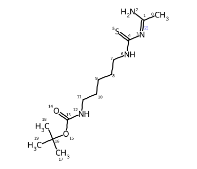 C/C(N)=N/C(=S)NCCCCCNC(=O)OC(C)(C)C